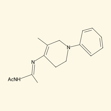 CC(=O)N/C(C)=N/C1=C(C)CN(c2ccccc2)CC1